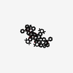 Cc1cc2c3c(c1)N(c1cccc4oc5ccccc5c14)c1cc(N(c4ccccc4)c4ccccc4)ccc1B3c1cc3c(cc1N2c1ccc2c(c1)C(C)(C)CCC2(C)CCc1ccccc1N(c1ccccc1)c1ccc2c(c1)N(c1cccc4sc5ccccc5c14)c1cc(C)cc4c1B2c1cc2c(cc1N4c1ccc4c(c1)C(C)(C)CCC4(C)C)C(C)(C)CCC2(C)C)C(C)(C)CCC3(C)C